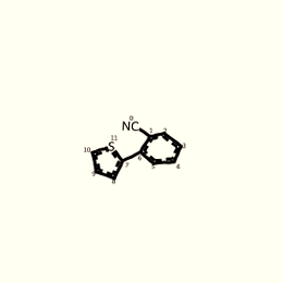 N#Cc1ccccc1-c1cccs1